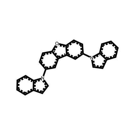 c1ccc2c(c1)ccn2-c1ccc2oc3ccc(-n4ccc5ccccc54)cc3c2c1